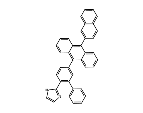 c1ccc(-c2cc(-c3c4ccccc4c(-c4ccc5ccccc5c4)c4ccccc34)ccc2-c2ncc[nH]2)cc1